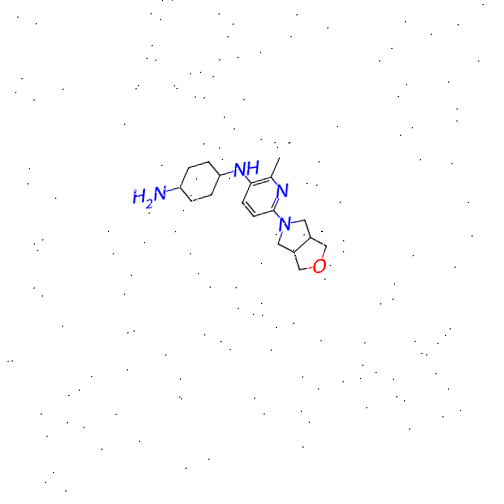 Cc1nc(N2CC3COCC3C2)ccc1NC1CCC(N)CC1